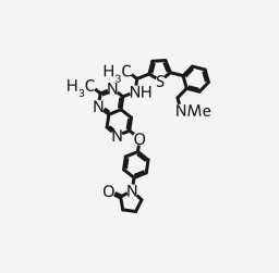 CNCc1ccccc1-c1ccc(C(C)Nc2nc(C)nc3cnc(Oc4ccc(N5CCCC5=O)cc4)cc23)s1